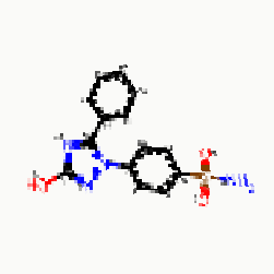 NS(=O)(=O)c1ccc(-n2nc(O)nc2-c2ccccc2)cc1